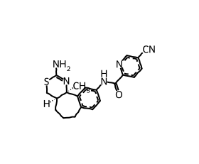 C[C@@]12N=C(N)SC[C@@H]1CCCc1ccc(NC(=O)c3ccc(C#N)cn3)cc12